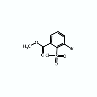 COC(=O)c1cccc(Br)c1S(=O)(=O)Cl